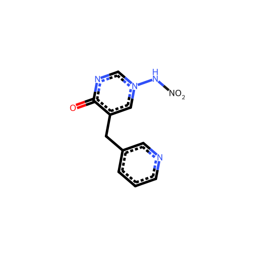 O=c1ncn(N[N+](=O)[O-])cc1Cc1cccnc1